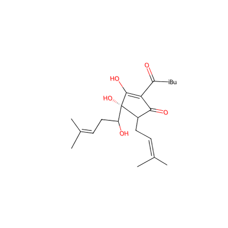 CCC(C)C(=O)C1=C(O)[C@](O)(C(O)CC=C(C)C)C(CC=C(C)C)C1=O